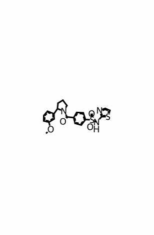 COc1cccc(C2CCCN2C(=O)c2ccc(S(=O)(=O)Nc3nccs3)cc2)c1